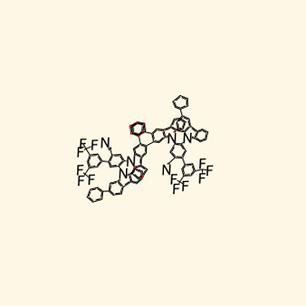 N#Cc1cc(-n2c3ccccc3c3cc(-c4ccccc4)c(-c4cc5c6ccccc6n(-c6cc(C#N)c(-c7cc(C(F)(F)F)cc(C(F)(F)F)c7)cc6-n6c7ccccc7c7ccc(-c8ccccc8)cc76)c5cc4-c4ccccc4)cc32)c(-n2c3ccccc3c3cc(-c4ccccc4)ccc32)cc1-c1cc(C(F)(F)F)cc(C(F)(F)F)c1